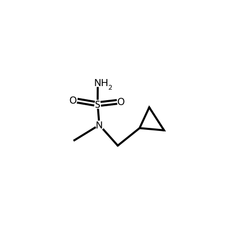 CN(CC1CC1)S(N)(=O)=O